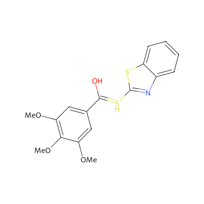 COc1cc(C(O)=[SH]c2nc3ccccc3s2)cc(OC)c1OC